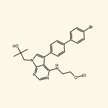 CCOCCNc1ncnc2c1c(-c1ccc(-c3ccc(Br)cc3)cc1)cn2CC(C)(C)O